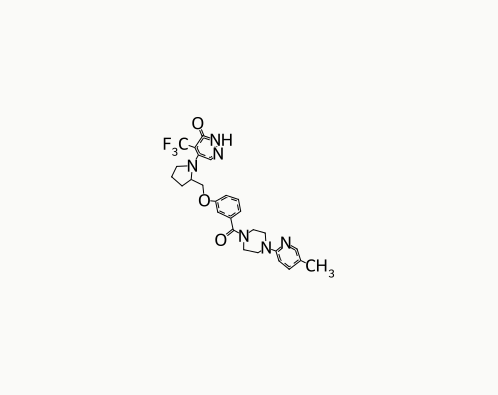 Cc1ccc(N2CCN(C(=O)c3cccc(OCC4CCCN4c4cn[nH]c(=O)c4C(F)(F)F)c3)CC2)nc1